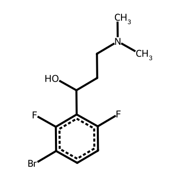 CN(C)CCC(O)c1c(F)ccc(Br)c1F